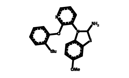 COc1ccc2c(c1)SC(N)N2c1cccnc1Oc1ccccc1C(C)(C)C